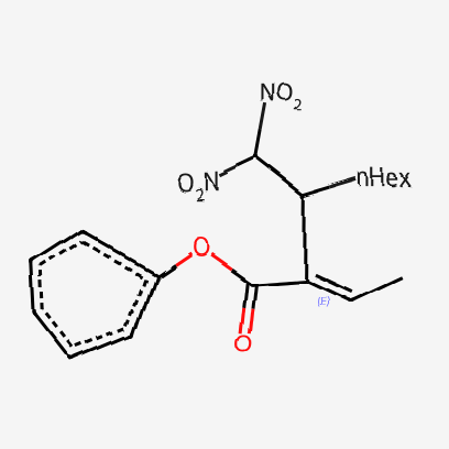 C/C=C(/C(=O)Oc1ccccc1)C(CCCCCC)C([N+](=O)[O-])[N+](=O)[O-]